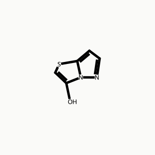 Oc1csc2ccnn12